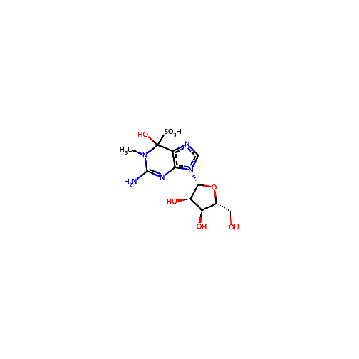 CN1C(N)=Nc2c(ncn2[C@@H]2O[C@H](CO)[C@@H](O)[C@H]2O)C1(O)S(=O)(=O)O